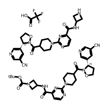 CC(C)(C)OC(=O)N1CC(NC(=O)c2ccnc(N3CCC(C(=O)N4OCC[C@H]4c4cncc(C#N)c4)CC3)n2)C1.N#Cc1cncc([C@@H]2CCON2C(=O)C2CCN(c3nccc(C(=O)NC4CNC4)n3)CC2)c1.O=C(O)C(F)(F)F